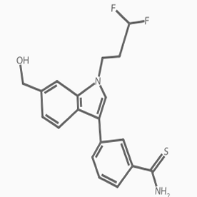 NC(=S)c1cccc(-c2cn(CCC(F)F)c3cc(CO)ccc23)c1